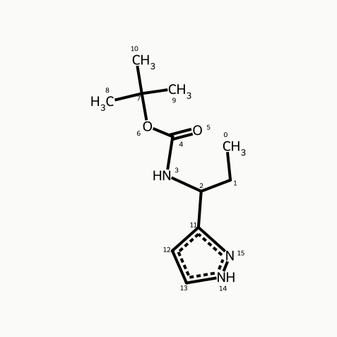 CCC(NC(=O)OC(C)(C)C)c1cc[nH]n1